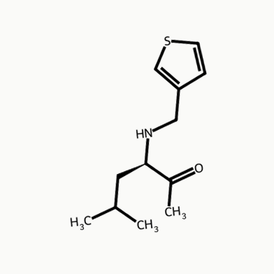 CC(=O)[C@@H](CC(C)C)NCc1ccsc1